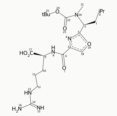 CC(C)C[C@@H](c1nc(C(=O)N[C@@H](CCCNC(=N)N)C(=O)O)co1)N(C)C(=O)OC(C)(C)C